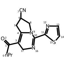 CCCC(=O)C1=C2CC(C#N)CN2C(c2nccs2)=NC1